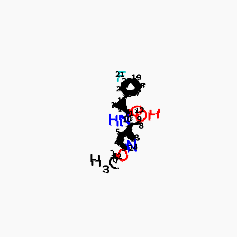 CCOc1ccc([C@H](CO)NC(=O)[C@H]2C[C@@H]2c2cccc(F)c2)cn1